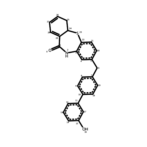 O=C1Nc2cc(Cc3ccc(-c4cccc(O)c4)cc3)ccc2SC2CC=CC=C12